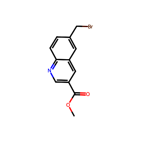 COC(=O)c1cnc2ccc(CBr)cc2c1